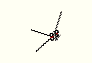 CCCCCCCCCCCCc1ccc([S](=O)(=O)[Ti]([CH](C)C)([S](=O)(=O)c2ccc(CCCCCCCCCCCC)cc2)[S](=O)(=O)c2ccc(CCCCCCCCCCCC)cc2)cc1